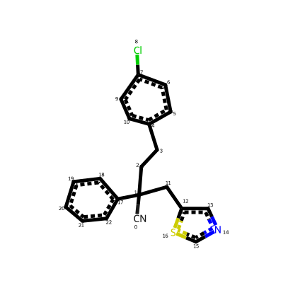 N#CC(CCc1ccc(Cl)cc1)(Cc1cncs1)c1ccccc1